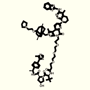 Cc1ncsc1-c1ccc([C@H](C)NC(=O)[C@@H]2C[C@@H](O)CN2C(=O)[C@@H](NC(=O)CCOCCOCCOCCNC(=O)c2nc(N3CCCc4c3nnc(Nc3nc5ccccc5s3)c4C)ccc2-c2cnn(CC34CC5(OCCN6CCCC6)C[C@](C)(C3)C[C@](C)(C4)C5)c2C)C(C)(C)C)cc1